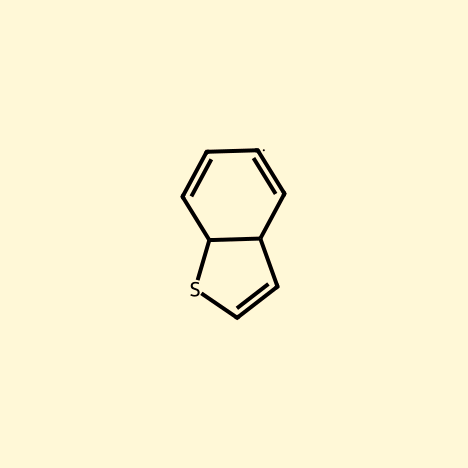 [C]1=CC2C=CSC2C=C1